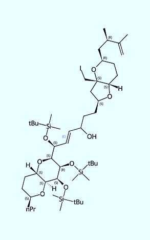 C=C(C)[C@H](C)C[C@H]1CC[C@@H]2O[C@@H](CCC(O)/C=C/[C@H](O[Si](C)(C)C(C)(C)C)[C@@H]3O[C@H]4CC[C@H](CCC)O[C@@H]4[C@H](O[Si](C)(C)C(C)(C)C)[C@@H]3O[Si](C)(C)C(C)(C)C)C[C@]2(CI)O1